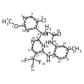 COc1ncc(Cl)c(Nc2ncc(C(F)(F)F)c(Nc3ccc(C)cc3NC(C)=O)n2)n1